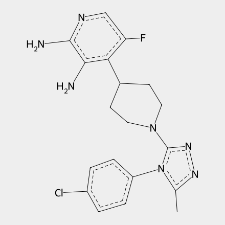 Cc1nnc(N2CCC(c3c(F)cnc(N)c3N)CC2)n1-c1ccc(Cl)cc1